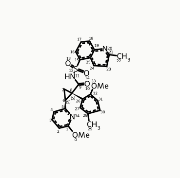 COc1cccc([C@H]2C[C@@]2(C(=O)NS(=O)(=O)c2cccc3nc(C)ccc23)c2cc(C)ccc2OC)n1